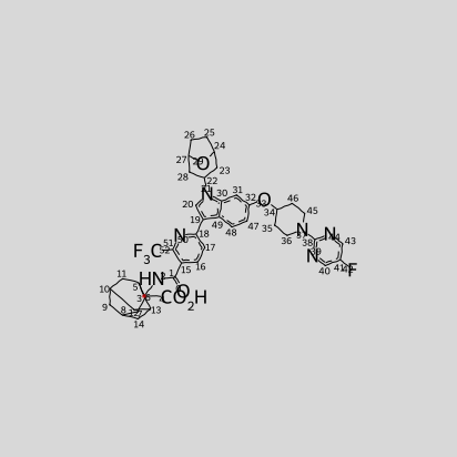 O=C(NC1(C(=O)O)C2CCC3CC(C2)CC1C3)c1ccc(-c2cn(C3CC4CCC(C3)O4)c3cc(OC4CCN(c5ncc(F)cn5)CC4)ccc23)nc1C(F)(F)F